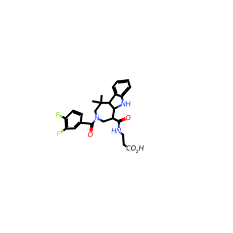 CC1(C)CN(C(=O)c2ccc(F)c(F)c2)CC(C(=O)NCCC(=O)O)C2Nc3ccccc3C21